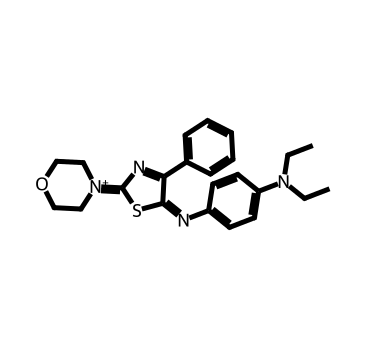 CCN(CC)c1ccc(/N=C2/SC(=[N+]3CCOCC3)N=C2c2ccccc2)cc1